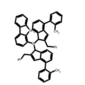 Cc1ccccc1-c1cccc2c1C=C(CC(C)C)[CH]2[Zr]([c]1cccc2c1[SiH2]c1ccccc1-2)[CH]1C(CC(C)C)=Cc2c(-c3ccccc3C)cccc21